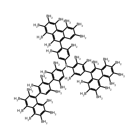 Bc1cc2c(-c3c(B)cc(N(c4cc(B)c(-c5c(B)cc(-c6c(B)c(B)c(B)c7c(B)c(B)c(B)c(B)c67)c(B)c5B)c(B)c4B)c4c(B)cc(-c5c(B)c6c(B)c(B)c(B)c(B)c6c6c(B)c(B)c(B)c(B)c56)c(B)c4B)cc3B)c(B)c3c(B)c(B)c(B)c(B)c3c2c(B)c1B